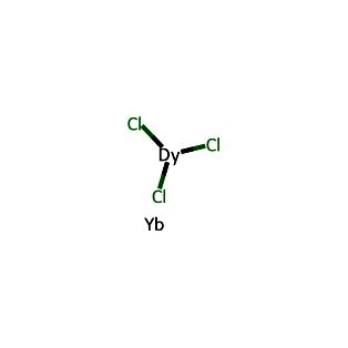 [Cl][Dy]([Cl])[Cl].[Yb]